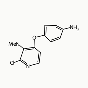 CNc1c(Oc2ccc(N)cc2)ccnc1Cl